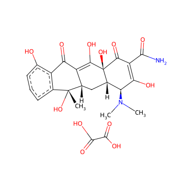 CN(C)[C@@H]1C(O)=C(C(N)=O)C(=O)[C@@]2(O)C(O)=C3C(=O)c4c(O)cccc4[C@@](C)(O)[C@H]3C[C@@H]12.O=C(O)C(=O)O